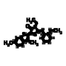 CCn1c(=O)/c(=C2\Sc3cc(C)ccc3N2C)s/c1=C\c1cccc[n+]1CC